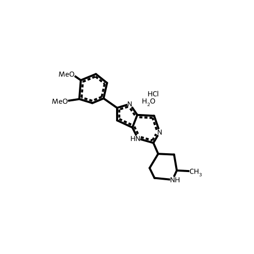 COc1ccc(-c2cc3[nH]c(C4CCNC(C)C4)ncc-3n2)cc1OC.Cl.O